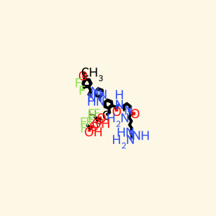 CCc1cc(Nc2nccn3c(-c4ccc(OC)c(F)c4F)cnc23)ccc1C(=O)N[C@@H]1CCN(C(=O)[C@@H](N)CCCNC(=N)N)C1.O=C(O)C(F)(F)F.O=C(O)C(F)(F)F